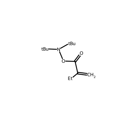 C=C(CC)C(=O)ON(C(C)(C)C)C(C)(C)C